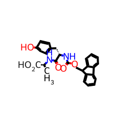 C[C@H](NC(=O)[C@H](Cc1ccc(O)cc1)NC(=O)OCC1c2ccccc2-c2ccccc21)C(=O)O